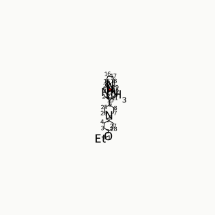 CCO[C@H]1CC[C@H](N2CCC(c3cnc(N4C5CCC4CN(C)C5)nc3)CC2)CC1